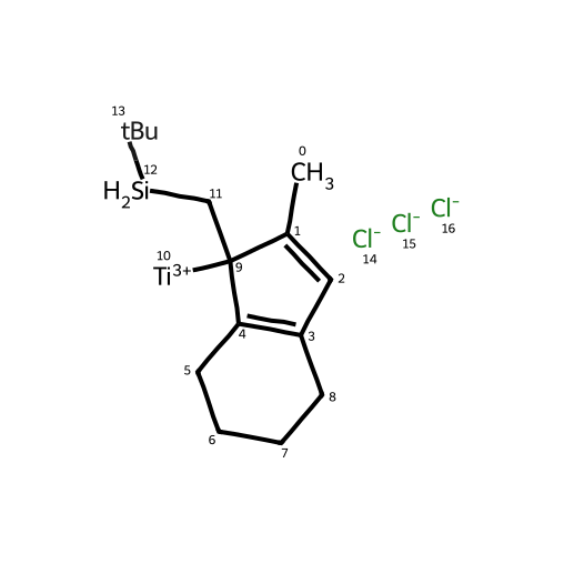 CC1=CC2=C(CCCC2)[C]1([Ti+3])C[SiH2]C(C)(C)C.[Cl-].[Cl-].[Cl-]